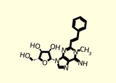 Cn1c(C=Cc2ccccc2)nc2c(ncn2[C@@H]2O[C@H](CO)[C@@H](O)[C@H]2O)c1=N